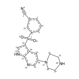 N#Cc1cccc(S(=O)(=O)c2c[nH]c3ncc(N4CCNCC4)cc23)c1